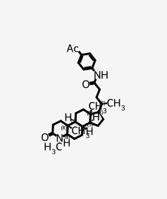 CC(=O)c1ccc(NC(=O)CC[C@@H](C)[C@H]2CC[C@H]3[C@@H]4CC[C@H]5N(C)C(=O)CC[C@]5(C)[C@H]4CC[C@]23C)cc1